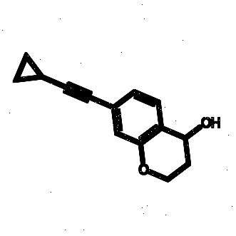 OC1CCOc2cc(C#CC3CC3)ccc21